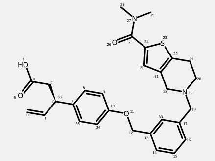 C=C[C@@H](CC(=O)O)c1ccc(OCc2cccc(CN3CCc4sc(C(=O)N(C)C)cc4C3)c2)cc1